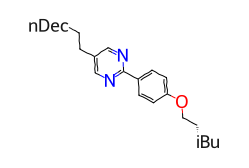 CCCCCCCCCCCCc1cnc(-c2ccc(OCC[C@@H](C)CC)cc2)nc1